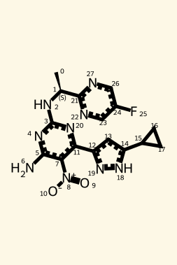 C[C@H](Nc1nc(N)c([N+](=O)[O-])c(-c2cc(C3CC3)[nH]n2)n1)c1ncc(F)cn1